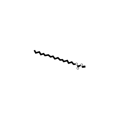 C=COC(=O)OCCCCCCCCCCCCCCCCCC